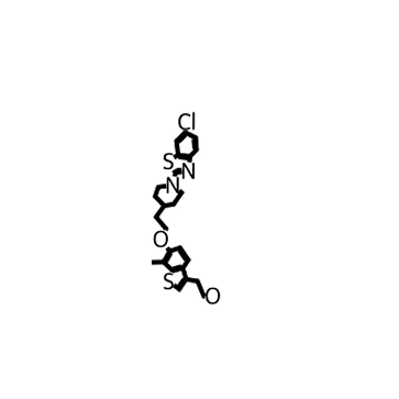 Cc1c(OCCC2CCN(c3nc4ccc(Cl)cc4s3)CC2)ccc2c(CC=O)csc12